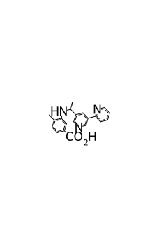 Cc1ccc(C(=O)O)cc1N[C@@H](C)c1cncc(-c2ccccn2)c1